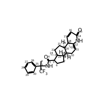 CC(NC(=O)C1CC[C@H]2[C@@H]3CC=C4NC(=O)C=C[C@]4(C)[C@@H]3CC[C@]12C)(c1ccccc1)C(F)(F)F